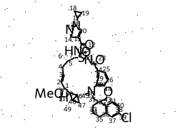 CO[C@H]1/C=C/C[C@H](C)C[S@@](=O)(NC(=O)c2cnn(C3CC3)c2)=NC(=O)c2ccc3c(c2)N(C[C@@]2(CCCc4cc(Cl)ccc42)CO3)C[C@]23C[C@@]2(C)[C@@H]13